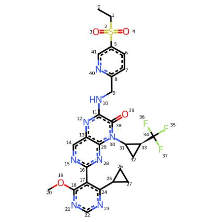 CCS(=O)(=O)c1ccc(CNc2nc3cnc(-c4c(OC)ncnc4C4CC4)nc3n(C3C[C@@H]3C(F)(F)F)c2=O)nc1